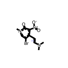 CN(C)/C=C/c1c(Br)cn(C)c(=O)c1[N+](=O)[O-]